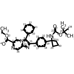 CCOC(=O)c1cn2c(-c3ccccc3)c(-c3ccc(C4(NC(=O)OC(C)(C)I)CCC4)cc3)nc2cn1